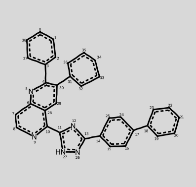 [c]1ccc(-c2nc3ccnc(-c4nc(-c5ccc(-c6ccccc6)cc5)n[nH]4)c3cc2-c2ccccc2)cc1